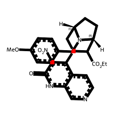 CCOC(=O)C1[C@H]2CC[C@@H](CN1c1c([N+](=O)[O-])c(=O)[nH]c3cnccc13)N2Cc1ccc(OC)cc1